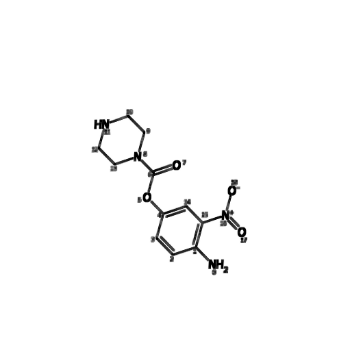 Nc1ccc(OC(=O)N2CCNCC2)cc1[N+](=O)[O-]